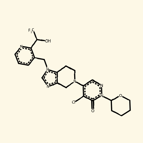 O=c1c(Cl)c(N2CCc3c(ncn3Cc3cccnc3C(O)C(F)(F)F)C2)cnn1C1CCCCO1